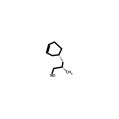 C[C@H](CN=O)C[C@@H]1CC=CCC1